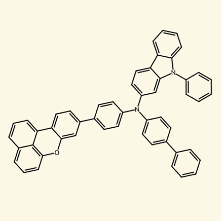 c1ccc(-c2ccc(N(c3ccc(-c4ccc5c(c4)Oc4cccc6cccc-5c46)cc3)c3ccc4c5ccccc5n(-c5ccccc5)c4c3)cc2)cc1